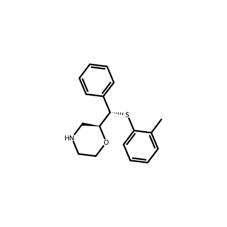 Cc1ccccc1S[C@@H](c1ccccc1)[C@@H]1CNCCO1